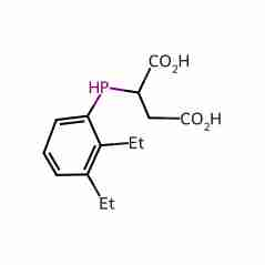 CCc1cccc(PC(CC(=O)O)C(=O)O)c1CC